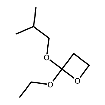 CCOC1(OCC(C)C)CCO1